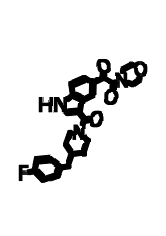 O=C(C(=O)N1CCOCC1)c1ccc2[nH]cc(C(=O)N3CCC(Cc4ccc(F)cc4)CC3)c2c1